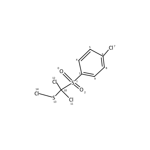 O=S(=O)(c1ccc(Cl)cc1)C(Cl)(Cl)SCl